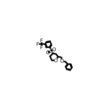 O=S(=O)(c1cccc(C(F)(F)F)c1)C1CCOC(COCc2ccccc2)C1